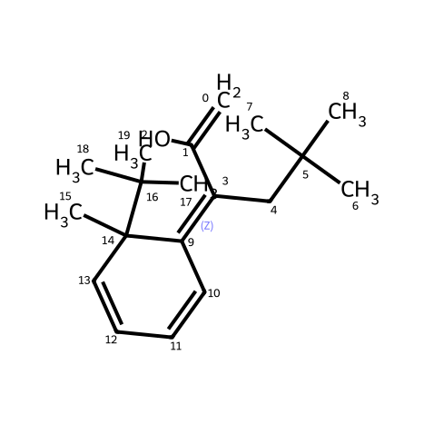 C=C(O)/C(CC(C)(C)C)=C1/C=CC=CC1(C)C(C)(C)C